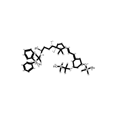 CC(C)[C@@H](CC[C@H](C)[C@@]1(C)CC[C@@H](/C=C/C=C2\C[C@@H](CC(C)(C)[Si](C)(C)O)C[C@H](O[Si](C)(C)C(C)(C)C)C2)C1(C)C)CC(C)(C)[Si](O)(c1ccccc1)c1ccccc1